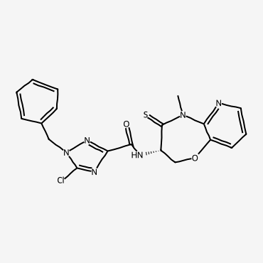 CN1C(=S)[C@@H](NC(=O)c2nc(Cl)n(Cc3ccccc3)n2)COc2cccnc21